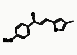 COc1ccc(C(=O)/C=C/c2cc(C)co2)cc1